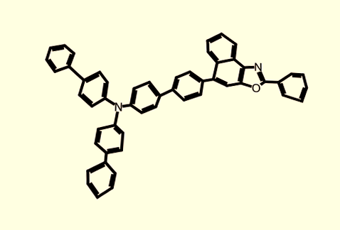 c1ccc(-c2ccc(N(c3ccc(-c4ccccc4)cc3)c3ccc(-c4ccc(-c5cc6oc(-c7ccccc7)nc6c6ccccc56)cc4)cc3)cc2)cc1